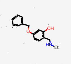 CCNCc1ccc(OCc2ccccc2)cc1O